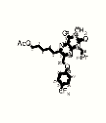 CC(=O)OCCCCCc1nc2c(=O)n(C)c(=O)n(CC(C)C)c2nc1COc1ccc(C(F)(F)F)cc1